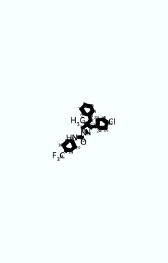 CC1(Cc2ccccc2)CN(C(=O)Nc2ccc(C(F)(F)F)cc2)N=C1c1ccc(Cl)cc1